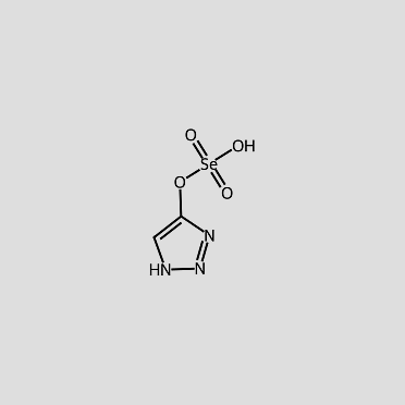 O=[Se](=O)(O)Oc1c[nH]nn1